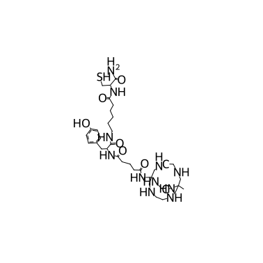 CC12CNCCNCC(NC(=O)CCCC(=O)NC(Cc3ccc(O)cc3)C(=O)NCCCCCC(=O)NC(CS)C(N)=O)(CNCCNC1)NCCN2